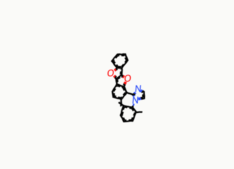 Cc1cccc(C)c1-n1ccnc1-c1c(C)ccc2c1oc1c3ccccc3oc21